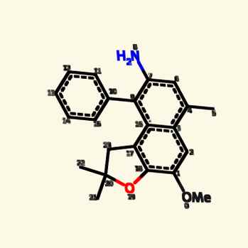 COc1cc2c(C)cc(N)c(-c3ccccc3)c2c2c1OC(C)(C)C2